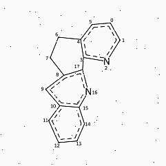 c1cnc2c(c1)CCc1cc3ccccc3nc1-2